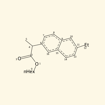 CCCCCCOC(=O)C(C)c1ccc2cc(CC)ccc2c1